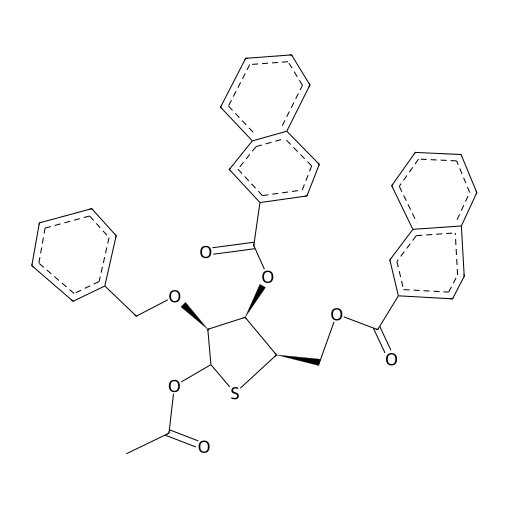 CC(=O)OC1S[C@H](COC(=O)c2ccc3ccccc3c2)[C@H](OC(=O)c2ccc3ccccc3c2)[C@@H]1OCc1ccccc1